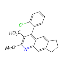 COc1nc2cc3c(cc2c(-c2ccccc2Cl)c1C(=O)O)CCC3